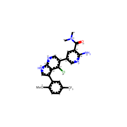 COc1ccc(C(F)(F)F)cc1-c1c[nH]c2ncc(-c3cnc(N)c(C(=O)N(C)C)c3)c(Cl)c12